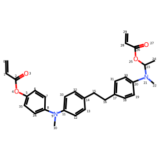 C=CC(=O)Oc1ccc(N(C)c2ccc(CCc3ccc(N(C)C(C)OC(=O)C=C)cc3)cc2)cc1